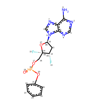 Nc1ncnc2c1ncn2[C@H]1C[C@H](F)[C@@](F)(CO[PH](=O)Oc2ccccc2)O1